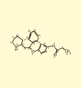 CCC(=O)Oc1ccc(OC(CC2CCCCN2)c2ccccc2)cc1